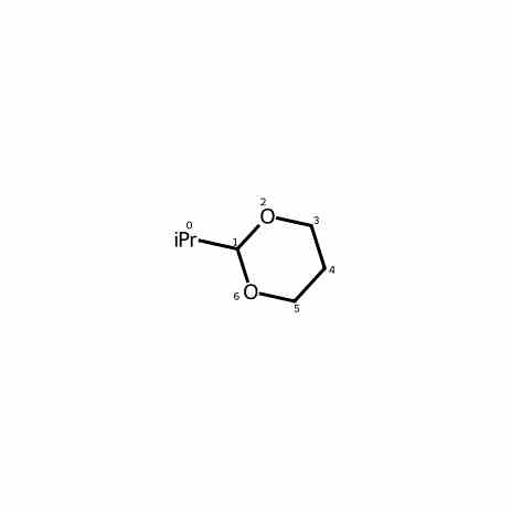 CC(C)C1OCCCO1